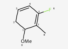 COC1CC=CC(F)=C1C